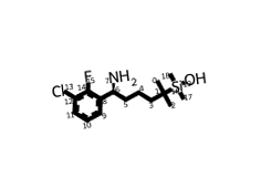 CC(C)(CCC[C@H](N)c1cccc(Cl)c1F)[Si](C)(C)O